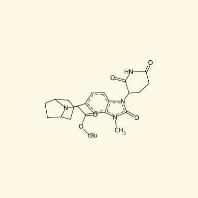 Cn1c(=O)n(C2CCC(=O)NC2=O)c2ccc(C3CC4CCC(C3)N4CC(=O)OC(C)(C)C)cc21